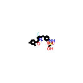 Cc1ccc(C(=O)c2cc(F)c(Cc3ccc(NS(=O)(=O)CCO)cc3)n2C)c(C)c1